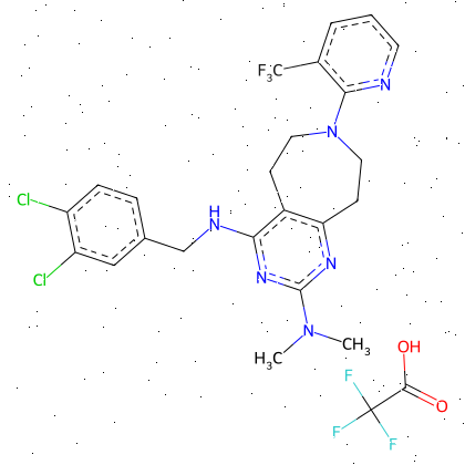 CN(C)c1nc2c(c(NCc3ccc(Cl)c(Cl)c3)n1)CCN(c1ncccc1C(F)(F)F)CC2.O=C(O)C(F)(F)F